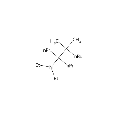 CCCCC(C)(C)C(CCC)(CCC)N(CC)CC